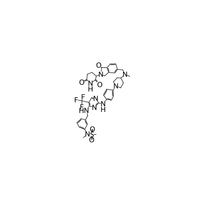 CN(Cc1ccc2c(c1)CN(C1CCC(=O)NC1=O)C2=O)C1CCN(c2ccc(Nc3ncc(C(F)(F)F)c(NCc4cccc(N(C)S(C)(=O)=O)c4)n3)cc2)CC1